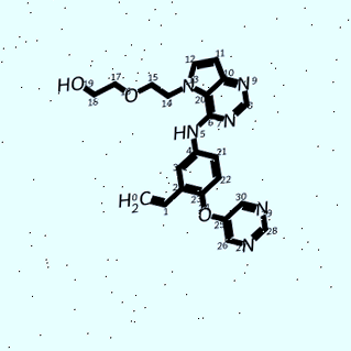 C=Cc1cc(Nc2ncnc3ccn(CCOCCO)c23)ccc1Oc1cncnc1